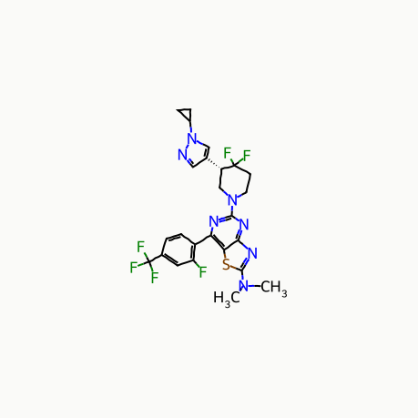 CN(C)c1nc2nc(N3CCC(F)(F)[C@@H](c4cnn(C5CC5)c4)C3)nc(-c3ccc(C(F)(F)F)cc3F)c2s1